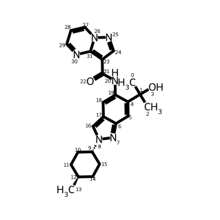 CC(C)(O)c1cc2nn([C@H]3CC[C@H](C)CC3)cc2cc1NC(=O)c1cnn2cccnc12